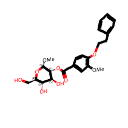 COc1cc(C(=O)O[C@H]2[C@@H](OC)O[C@H](CO)[C@@H](O)[C@@H]2O)ccc1OCCc1ccccc1